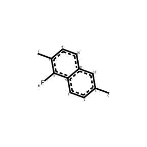 Cc1ccc2c(F)c(C)ccc2c1